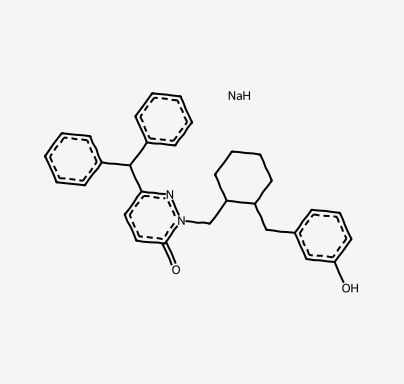 O=c1ccc(C(c2ccccc2)c2ccccc2)nn1CC1CCCCC1Cc1cccc(O)c1.[NaH]